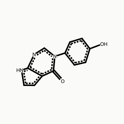 O=c1c2cc[nH]c2ncn1-c1ccc(O)cc1